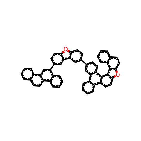 c1ccc2c(c1)ccc1c3ccccc3c(-c3ccc4oc5ccc(-c6ccc7c(c6)c6ccccc6c6ccc8oc9ccc%10ccccc%10c9c8c67)cc5c4c3)cc21